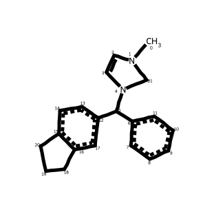 CN1C=CN(C(c2ccccc2)c2ccc3c(c2)CCC3)C1